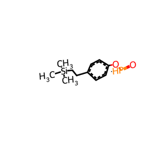 C[Si](C)(C)CCc1ccc(O[PH]=O)cc1